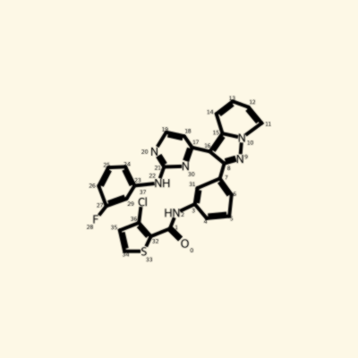 O=C(Nc1cccc(-c2nn3ccccc3c2-c2ccnc(Nc3cccc(F)c3)n2)c1)c1sccc1Cl